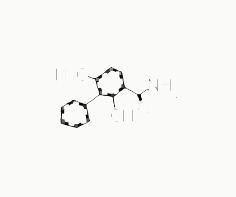 Cc1ccc(C(N)=O)c(C)c1-c1ccccc1